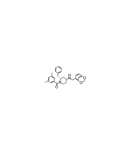 Cc1cc(C)cc(C(=O)N2CC[C@H](NCc3ccc4cc3OCO4)C[C@H]2Cc2ccccc2)c1